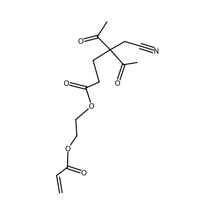 C=CC(=O)OCCOC(=O)CCC(CC#N)(C(C)=O)C(C)=O